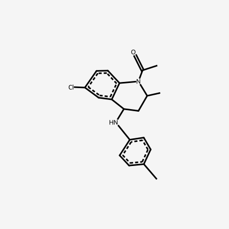 CC(=O)N1c2ccc(Cl)cc2C(Nc2ccc(C)cc2)CC1C